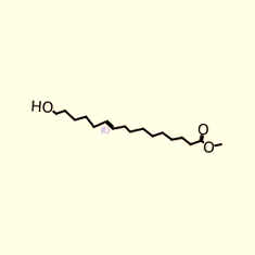 COC(=O)CCCCCCCC/C=C/CCCCCO